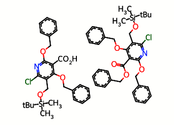 CC(C)(C)[Si](C)(C)OCc1c(Cl)nc(OCc2ccccc2)c(C(=O)O)c1OCc1ccccc1.CC(C)(C)[Si](C)(C)OCc1c(Cl)nc(OCc2ccccc2)c(C(=O)OCc2ccccc2)c1OCc1ccccc1